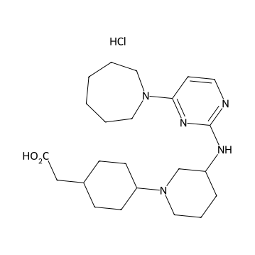 Cl.O=C(O)CC1CCC(N2CCCC(Nc3nccc(N4CCCCCC4)n3)C2)CC1